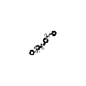 O=C(NCC1CCN(C(=O)OCc2ccccc2)CC1)c1ccnc(NC2CCCCC2)c1